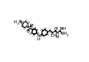 C/C(=C\c1ccc(Nc2ccc(S(=O)(=O)N3CCN(C)CC3)cc2)cc1)C(=O)NC(=N)N